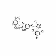 COc1ncc(C)cc1[C@H]1C[C@](O)(c2ccc(OCc3c(-c4c(Cl)cc(F)cc4Cl)noc3C3CC3)cc2Cl)C1